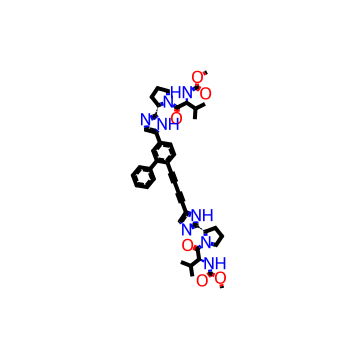 COC(=O)N[C@H](C(=O)N1CCC[C@H]1c1ncc(C#CC#Cc2ccc(-c3cnc([C@@H]4CCCN4C(=O)[C@@H](NC(=O)OC)C(C)C)[nH]3)cc2-c2ccccc2)[nH]1)C(C)C